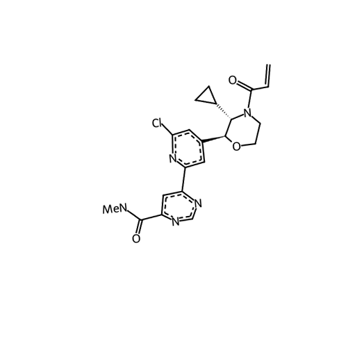 C=CC(=O)N1CCO[C@@H](c2cc(Cl)nc(-c3cc(C(=O)NC)ncn3)c2)[C@@H]1C1CC1